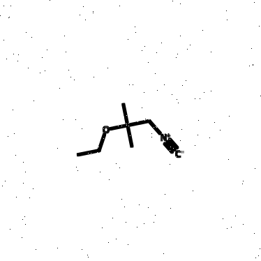 [C-]#[N+]CC(C)(C)OCC